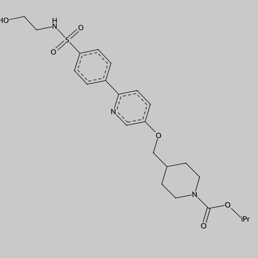 CC(C)OC(=O)N1CCC(COc2ccc(-c3ccc(S(=O)(=O)NCCO)cc3)nc2)CC1